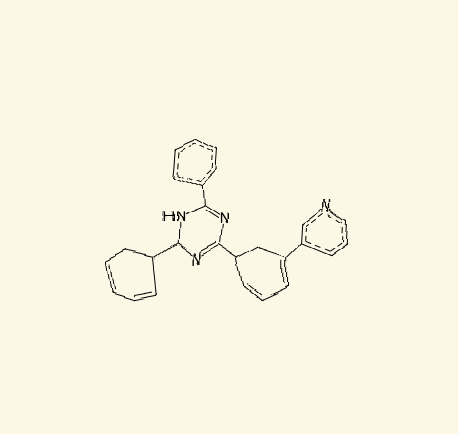 C1=CCC(C2N=C(C3C=CC=C(c4cccnc4)C3)N=C(c3ccccc3)N2)C=C1